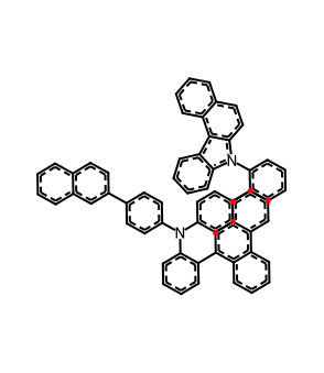 c1ccc(N(c2ccc(-c3ccc4ccccc4c3)cc2)c2ccc(-c3ccccc3-n3c4ccccc4c4c5ccccc5ccc43)cc2)c(-c2cc3ccccc3c3ccccc23)c1